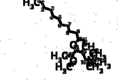 CCCCCCCCCCC(CC)OC([CH]C[N+](C)(C)C)C(C)OC